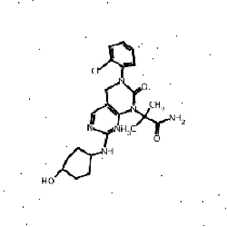 CC(C)(C(N)=O)N1C(=O)N(c2ccccc2Cl)Cc2cnc(NC3CCC(O)CC3)nc21